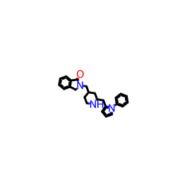 O=C1c2ccccc2CN1CC1CCNC(Cc2cccn2-c2ccccc2)C1